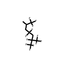 CC(CC(F)(F)CC(F)(C(F)(F)F)C(F)(F)F)C(F)(F)F